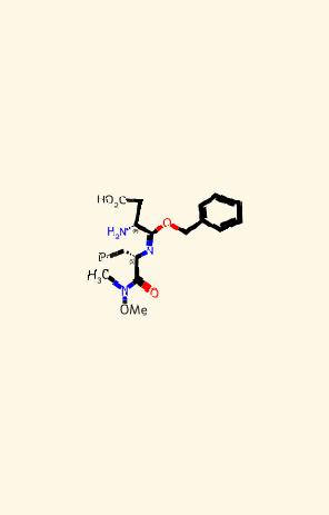 CON(C)C(=O)[C@H](CC(C)C)N=C(OCc1ccccc1)[C@H](N)CC(=O)O